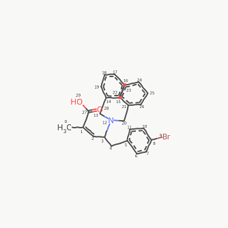 CC(=CC(Cc1ccc(Br)cc1)N(Cc1ccccc1)Cc1ccccc1)C(=O)O